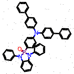 O=P1(c2ccc(N(c3ccc(-c4ccccc4)cc3)c3ccc(-c4ccccc4)cc3)cc2)N(c2ccccc2)c2ccccc2N1c1ccccc1